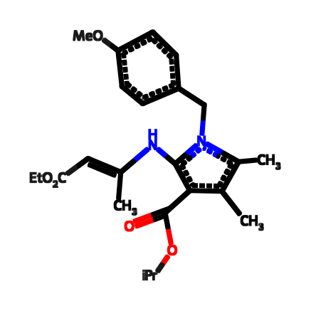 CCOC(=O)C=C(C)Nc1c(C(=O)OC(C)C)c(C)c(C)n1Cc1ccc(OC)cc1